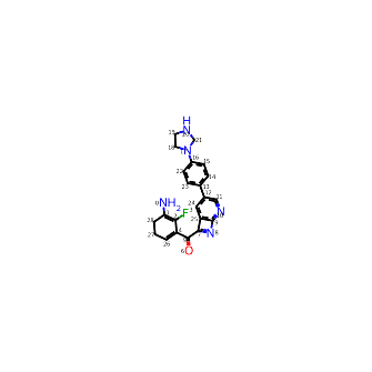 NC1=C(F)C(C(=O)C2=Nc3ncc(-c4ccc(N5CCNC5)cc4)cc32)=CCC1